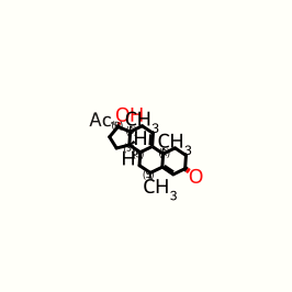 CC(=O)[C@@]1(O)CC[C@H]2[C@@H]3C[C@H](C)C4=CC(=O)CC[C@]4(C)C3=CC[C@@]21C